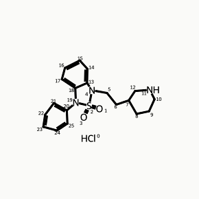 Cl.O=S1(=O)N(CCC2CCCNC2)c2ccccc2N1c1ccccc1